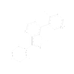 Cc1ccncc1-c1ccnc2c(N3CCOCC3)noc12